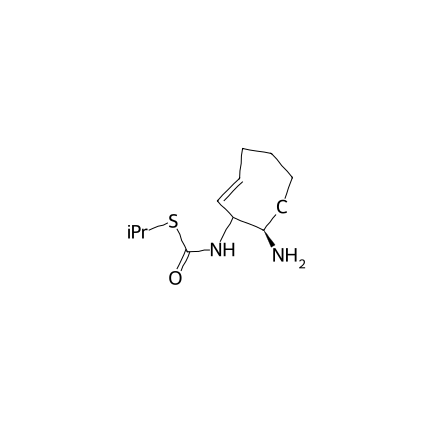 CC(C)SC(=O)NC1/C=C/CCCC[C@H]1N